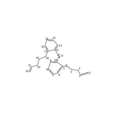 C=CCCCc1ccccc1Sc1ccccc1CCCC=C